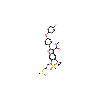 CNC(=O)c1c(-c2ccc(Oc3ccc(F)cc3)cc2)oc2cc(N(CCC[S+](C)[O-])S(C)(=O)=O)c(C3CC3)cc12